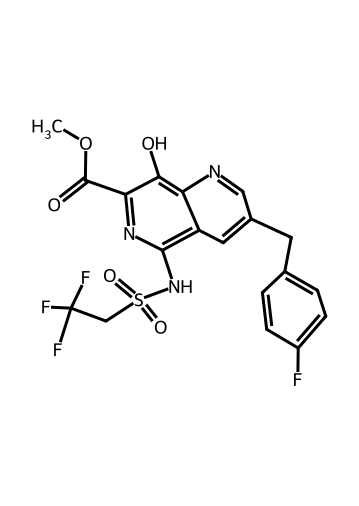 COC(=O)c1nc(NS(=O)(=O)CC(F)(F)F)c2cc(Cc3ccc(F)cc3)cnc2c1O